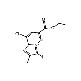 CCOC(=O)C1=N[N+]2=C(I)C(C)=NC2C(Cl)=C1